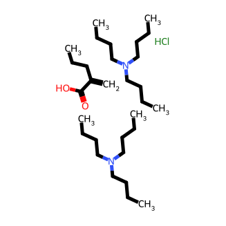 C=C(CCC)C(=O)O.CCCCN(CCCC)CCCC.CCCCN(CCCC)CCCC.Cl